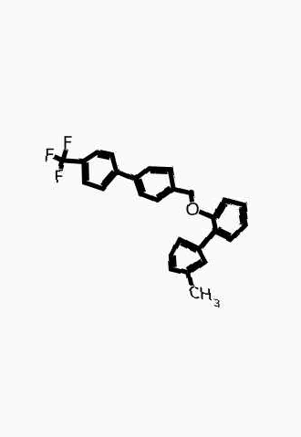 Cc1cccc(-c2ccccc2OCc2ccc(-c3ccc(C(F)(F)F)cc3)cc2)c1